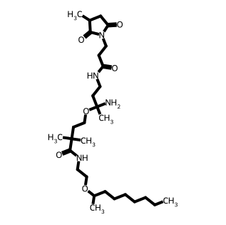 CCCCCCCC(C)OCCNC(=O)C(C)(C)CCOC(C)(N)CCNC(=O)CCN1C(=O)CC(C)C1=O